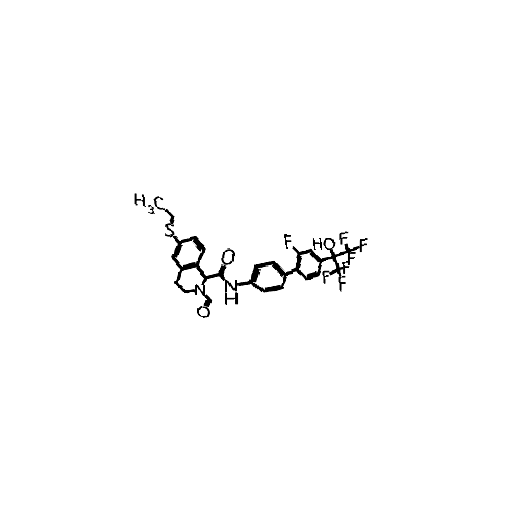 CCSc1ccc2c(c1)CCN(C=O)C2C(=O)Nc1ccc(-c2ccc(C(O)(C(F)(F)F)C(F)(F)F)cc2F)cc1